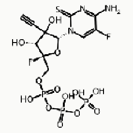 C#CC1(O)[C@@H](O)[C@@](F)(COP(=O)(O)OP(=O)(O)OP(=O)(O)O)O[C@H]1n1cc(F)c(N)nc1=S